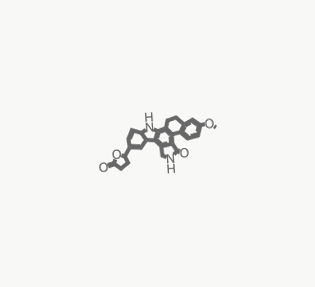 COc1ccc2c(c1)CCc1c3c(c4c(c1-2)C(=O)NC4)C1C=C(C2CCC(=O)O2)C=CC1N3